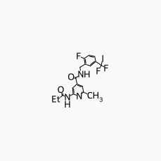 CCC(=O)Nc1cc(C(=O)NCc2cc(C(F)(F)I)ccc2F)cc(C)n1